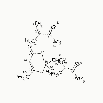 C=C(C)C(N)=O.C=C(C)C(N)=O.CC1=CC(=O)CC(C)(C)C1